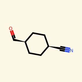 N#C[C@H]1CC[C@@H](C=O)CC1